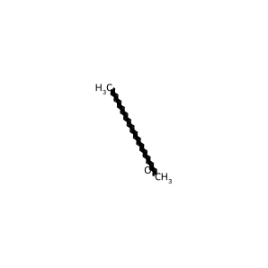 CCCCCCCCCCCCCCCCCCCCCCCCCCC(=O)CCC